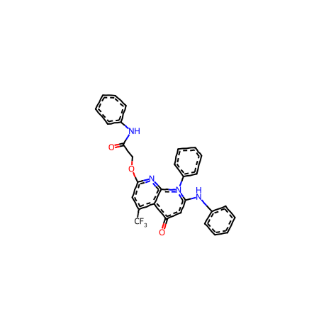 O=C(COc1cc(C(F)(F)F)c2c(=O)cc(Nc3ccccc3)n(-c3ccccc3)c2n1)Nc1ccccc1